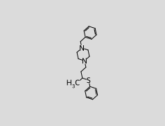 CC(CCN1CCN(Cc2ccccc2)CC1)Sc1ccccc1